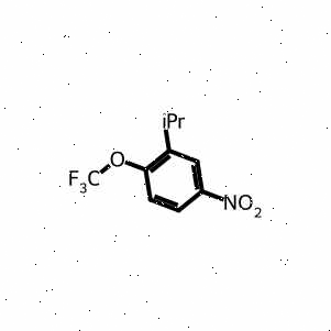 [CH2]C(C)c1cc([N+](=O)[O-])ccc1OC(F)(F)F